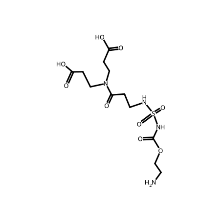 NCCOC(=O)NS(=O)(=O)NCCC(=O)N(CCC(=O)O)CCC(=O)O